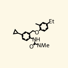 CCc1ccc(OCc2cc(C3CC3)ccc2NC(=O)NC)c(C)c1